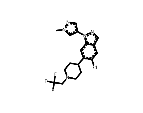 Cn1cc(-n2ncc3cc(Cl)c(C4CCN(CC(F)(F)F)CC4)cc32)cn1